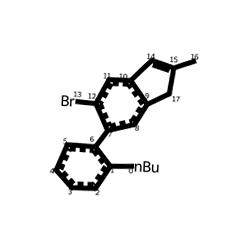 CCCCc1ccccc1-c1cc2c(cc1Br)C=C(C)C2